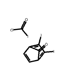 O=C(Cl)I.O=C1C2=C(I)C(I)=C1C=C2